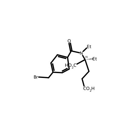 CCN(C(=O)c1ccc(CBr)cc1)[C@@](CC)(CCC(=O)O)C(=O)O